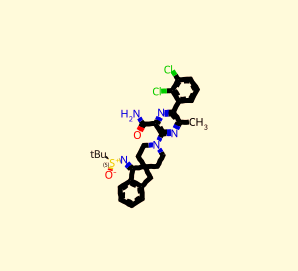 Cc1nc(N2CCC3(CC2)Cc2ccccc2C3=N[S@+]([O-])C(C)(C)C)c(C(N)=O)nc1-c1cccc(Cl)c1Cl